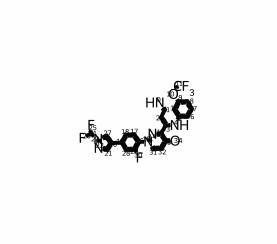 N=C/C=C(\Nc1cccc(OC(F)(F)F)c1)c1nn(-c2ccc(-c3cnn(C(F)F)c3)cc2F)ccc1=O